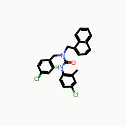 Cc1cc(Cl)ccc1NC(=O)N(Cc1ccc(Cl)cc1)Cc1cccc2ccccc12